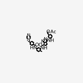 CC(=O)OCc1cccc(Nc2ncnc3c2C=CC3C(=O)Nc2cc(NC(=O)c3ccc(CN4CCN(C)CC4)cc3)ccc2C)c1